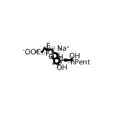 CCCCC[C@H](O)C#C[C@H]1[C@H](O)CC2O/C(=C\C(F)(F)CCC(=O)[O-])C[C@@H]21.[Na+]